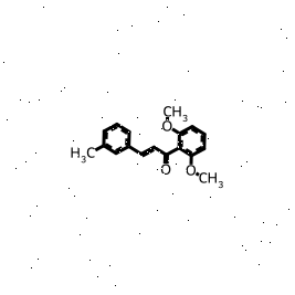 COc1cccc(OC)c1C(=O)/C=C/c1cccc(C)c1